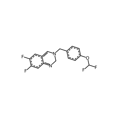 Fc1cc2c(cc1F)=NCN(Cc1ccc(OC(F)F)cc1)C=2